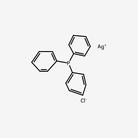 [Ag+].[Cl-].c1ccc(P(c2ccccc2)c2ccccc2)cc1